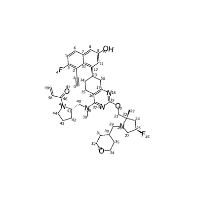 C#Cc1c(F)ccc2cc(O)cc([C@@H]3CCc4c(nc(OC[C@]5(C)C[C@@H](F)CN5CC5CCOCC5)nc4N(C)C[C@@H]4CCCN4C(=O)C=C)C3)c12